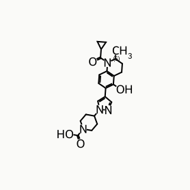 C[C@H]1CCc2c(ccc(-c3cnn(C4CCN(C(=O)O)CC4)c3)c2O)N1C(=O)C1CC1